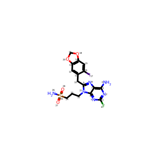 Nc1nc(F)nc2c1nc(Cc1cc3c(cc1I)OCO3)n2CCCS(N)(=O)=O